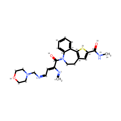 C=N/C(=C\C=N/CN1CCOCC1)C(=O)N1CCc2cc(C(=O)NC)sc2-c2ccccc21